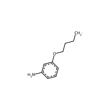 [CH2]CCCOc1cccc(N)c1